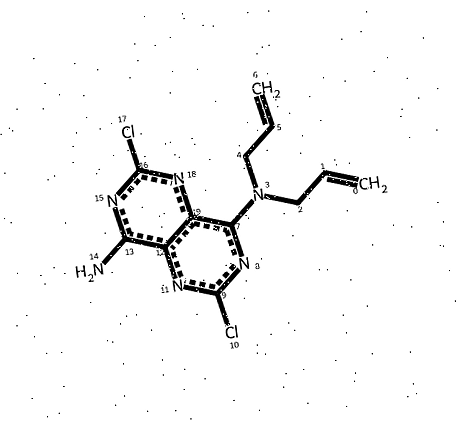 C=CCN(CC=C)c1nc(Cl)nc2c(N)nc(Cl)nc12